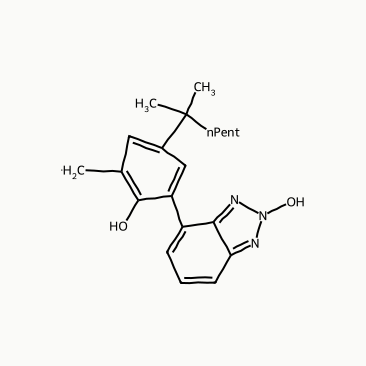 [CH2]c1cc(C(C)(C)CCCCC)cc(-c2cccc3nn(O)nc23)c1O